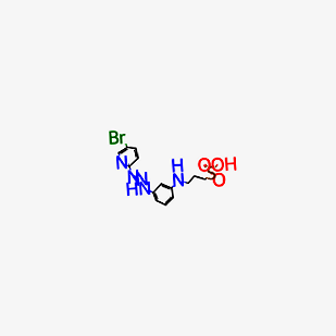 O=S(=O)(O)CCCNc1cccc(NN=Nc2ccc(Br)cn2)c1